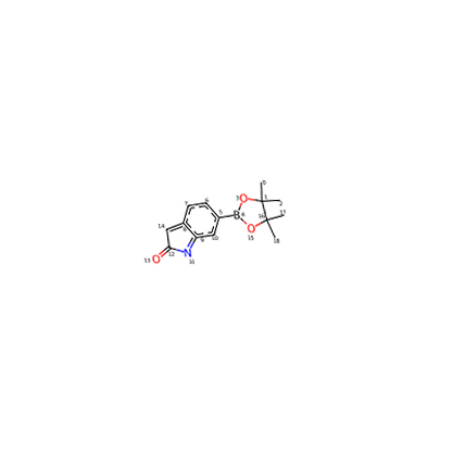 CC1(C)OB(c2ccc3c(c2)=NC(=O)C=3)OC1(C)C